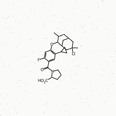 CC1CC2CC(CC(C)(Cl)C2)C1Oc1cc(F)c(C(=O)N2CCCC2C(=O)O)cc1C1CC1